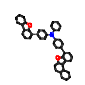 c1ccc(N(c2ccc(-c3cccc4c3oc3ccccc34)cc2)c2ccc(-c3cccc4c3oc3ccc5ccccc5c34)cc2)cc1